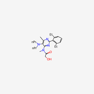 CCCN(CCC)c1c(C)nc(-c2c(CC)cccc2CC)nc1N(C)C(=O)CO